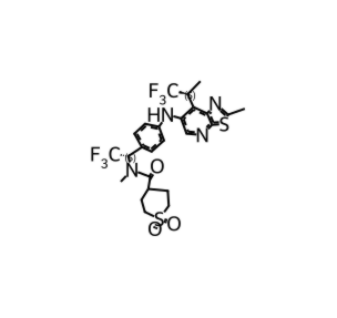 Cc1nc2c([C@H](C)C(F)(F)F)c(Nc3ccc([C@H](N(C)C(=O)C4CCS(=O)(=O)CC4)C(F)(F)F)cc3)cnc2s1